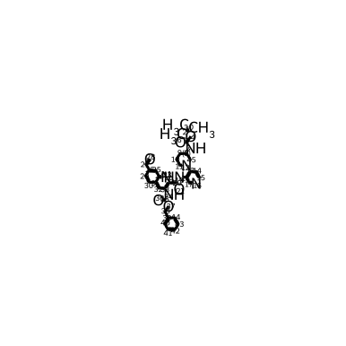 CC(C)(C)OC(=O)N[C@H]1CCCN(c2ccncc2NC(=O)c2nc3cc(C=O)ccc3cc2NC(=O)OCc2ccccc2)C1